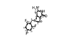 Nc1nc2c(ncn2Cc2c(F)cc(F)cc2F)c(=O)[nH]1